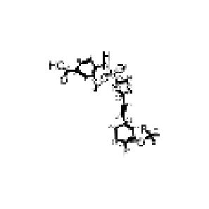 COc1cc(C(=O)O)ccc1NS(=O)(=O)c1csc(C#Cc2ccc(F)c(OC(F)(F)F)c2)n1